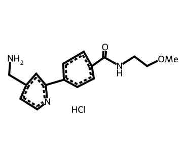 COCCNC(=O)c1ccc(-c2cc(CN)ccn2)cc1.Cl